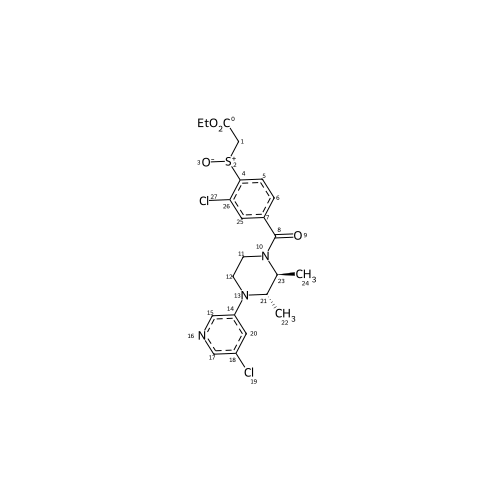 CCOC(=O)C[S+]([O-])c1ccc(C(=O)N2CCN(c3cncc(Cl)c3)[C@@H](C)[C@@H]2C)cc1Cl